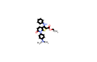 CCOC(=O)c1sc2c(ccc(=O)n2-c2ccc(N(C)C)cc2)c1Nc1ccccc1